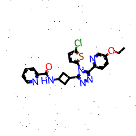 CCOc1ccc(-c2nnc(C3CC(NC(=O)c4ccccn4)C3)n2-c2ccc(Cl)s2)nc1